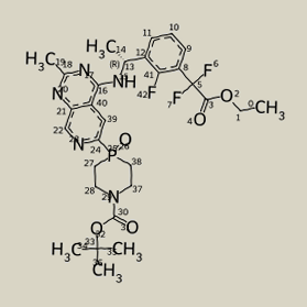 CCOC(=O)C(F)(F)c1cccc([C@@H](C)Nc2nc(C)nc3cnc(P4(=O)CCN(C(=O)OC(C)(C)C)CC4)cc23)c1F